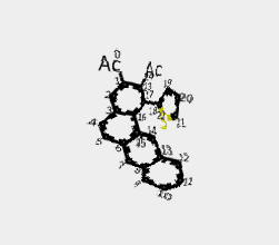 CC(=O)c1cc2ccc3cc4ccccc4cc3c2c(-c2cccs2)c1C(C)=O